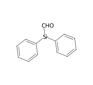 O=C[Si](c1ccccc1)c1ccccc1